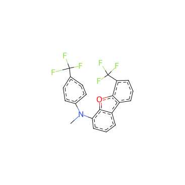 CN(c1ccc(C(F)(F)F)cc1)c1cccc2c1oc1c(C(F)(F)F)cccc12